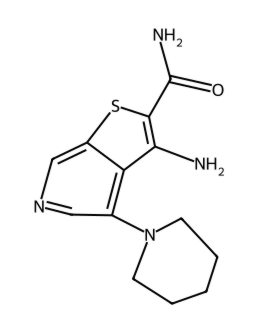 NC(=O)c1sc2cncc(N3CCCCC3)c2c1N